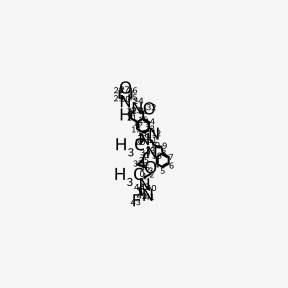 CC(COc1cccc2cc(-c3nc4cc5c(cc4n3C)CCN(C[C@H]3COCCN3)C5=O)n(CC3CC3)c12)n1cnc(F)c1